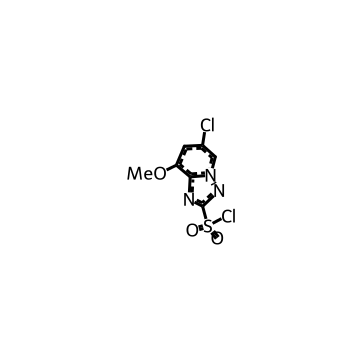 COc1cc(Cl)cn2nc(S(=O)(=O)Cl)nc12